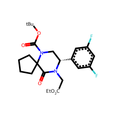 CCOC(=O)CN1C(=O)C2(CCCC2)N(C(=O)OC(C)(C)C)C[C@@H]1c1cc(F)cc(F)c1